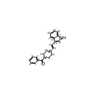 O=C(c1ccccc1)N1CCN(C=Cc2c[nH]c3ccccc23)CC1